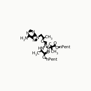 CCCCCOC(=O)[C@@H](C)NP(CO[C@H](C)Cn1cnc2c(N)ncnc21)NC(C)(C)C(=O)OCCCCC